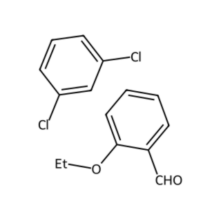 CCOc1ccccc1C=O.Clc1cccc(Cl)c1